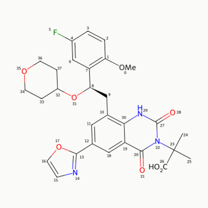 COc1ccc(F)cc1[C@@H](Cc1cc(-c2ncco2)cc2c(=O)n(C(C)(C)C(=O)O)c(=O)[nH]c12)OC1CCOCC1